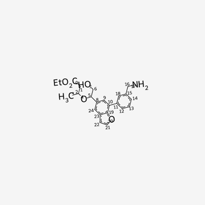 CCOC(=O)CC(C)OC(CO)c1cc(-c2cccc(CN)c2)c2occc2c1